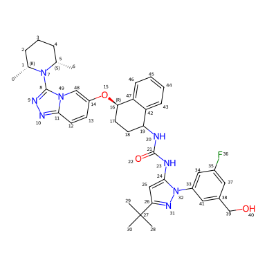 C[C@@H]1CCC[C@H](C)N1c1nnc2ccc(O[C@@H]3CCC(NC(=O)Nc4cc(C(C)(C)C)nn4-c4cc(F)cc(CO)c4)c4ccccc43)cn12